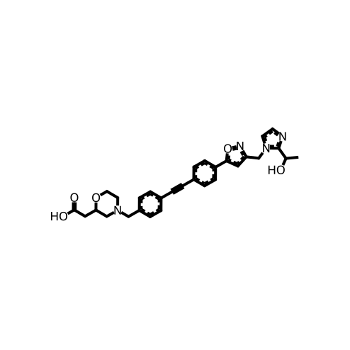 CC(O)c1nccn1Cc1cc(-c2ccc(C#Cc3ccc(CN4CCOC(CC(=O)O)C4)cc3)cc2)on1